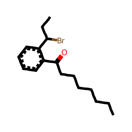 CCCCCCCC(=O)c1ccccc1C(Br)CC